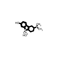 CN(C)C1CCc2c(c3ccc(O)cc3n2C)C1.Cl